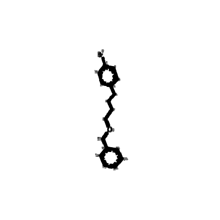 Brc1ccc(CCCCOCc2ccccc2)cc1